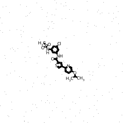 CC(C)Oc1ccc(-c2csc(C(=O)Nc3cc(Cl)cc(NS(C)(=O)=O)c3)c2)nc1